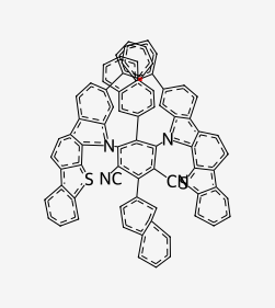 N#Cc1c(-c2ccc3ccccc3c2)c(C#N)c(-n2c3cc(-c4ccccc4)ccc3c3ccc4c5ccccc5sc4c32)c(-c2ccc3ccccc3c2)c1-n1c2cc(-c3ccccc3)ccc2c2ccc3c4ccccc4sc3c21